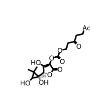 CC(=O)CCC(=O)CCOC(=O)OC1=C(O)[C@@H]([C@@]2(O)C(O)C2(C)C)OC1=O